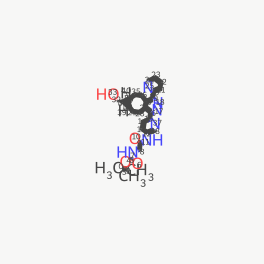 CC(C)(C)OC(=O)NCC(=O)Nc1ccc(-c2nnc(-c3ccccn3)c3c2CC[C@H]2[C@H](CO)[C@H]2CC3)nc1